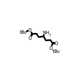 CC(C)(C)OC(=O)CCC(N)CCC(=O)OC(C)(C)C